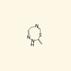 C=C1N/N=C\C/N=C\S1